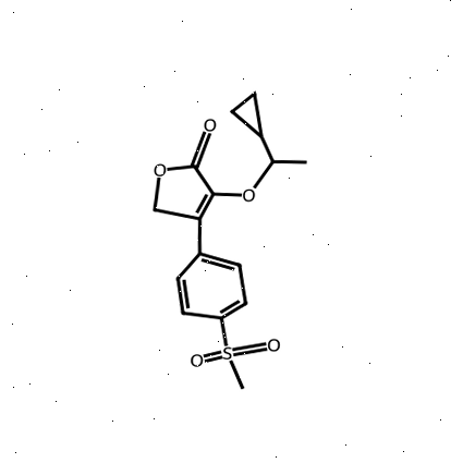 CC(OC1=C(c2ccc(S(C)(=O)=O)cc2)COC1=O)C1CC1